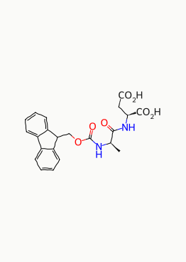 C[C@@H](NC(=O)OCC1c2ccccc2-c2ccccc21)C(=O)N[C@@H](CC(=O)O)C(=O)O